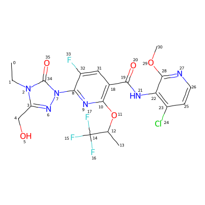 CCn1c(CO)nn(-c2nc(OC(C)C(F)(F)F)c(C(=O)Nc3c(Cl)ccnc3OC)cc2F)c1=O